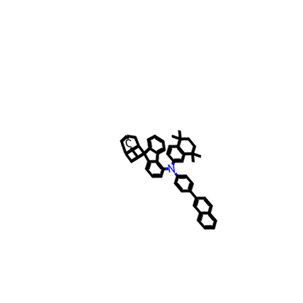 CC1(C)CCC(C)(C)c2cc(N(c3ccc(-c4ccc5ccccc5c4)cc3)c3cccc4c3-c3ccccc3C43C4CC5CC6CC3C64C5)ccc21